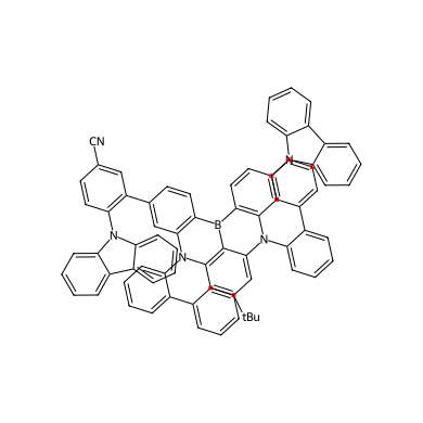 CC(C)(C)c1cc2c3c(c1)N(c1ccccc1-c1ccccc1)c1cc(-n4c5ccccc5c5ccccc54)ccc1B3c1ccc(-c3cc(C#N)ccc3-n3c4ccccc4c4ccccc43)cc1N2c1ccccc1-c1ccccc1